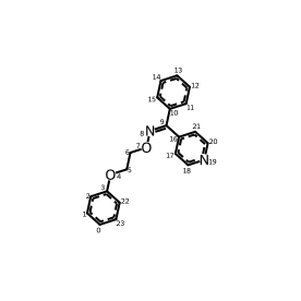 c1ccc(OCCON=C(c2ccccc2)c2ccncc2)cc1